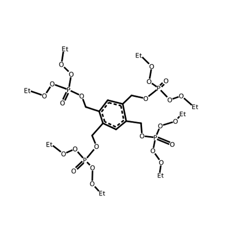 CCOOP(=O)(OCc1cc(COP(=O)(OOCC)OOCC)c(COP(=O)(OOCC)OOCC)cc1COP(=O)(OOCC)OOCC)OOCC